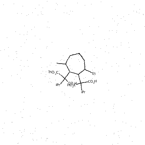 CCC1CCCC(C)C(C(C(=O)O)(C(=O)O)C(C)C)C1C(C(=O)O)(C(=O)O)C(C)C